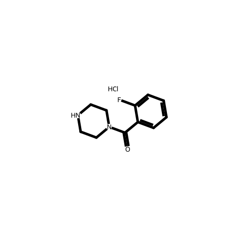 Cl.O=C(c1ccccc1F)N1CCNCC1